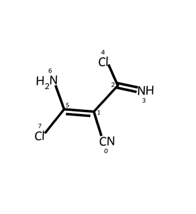 N#C/C(C(=N)Cl)=C(/N)Cl